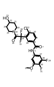 COc1cc(NC(=O)c2ccc(Cl)c(C(F)(F)C(=O)N3CCC(O)CC3)c2)cc(F)c1F